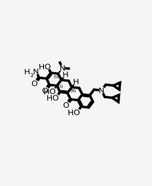 CN(C)[C@@H]1C(O)=C(C(N)=O)C(=O)[C@@]2(O)C(O)=C3C(=O)c4c(O)ccc(CN(CC5CC5)CC5CC5)c4C[C@H]3C[C@@H]12